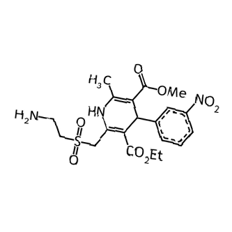 CCOC(=O)C1=C(CS(=O)(=O)CCN)NC(C)=C(C(=O)OC)C1c1cccc([N+](=O)[O-])c1